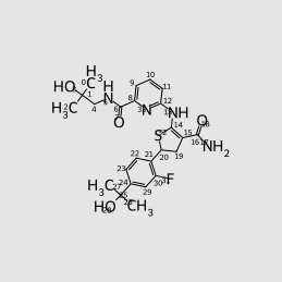 CC(C)(O)CNC(=O)c1cccc(NC2=C(C(N)=O)CC(c3ccc(C(C)(C)O)cc3F)S2)n1